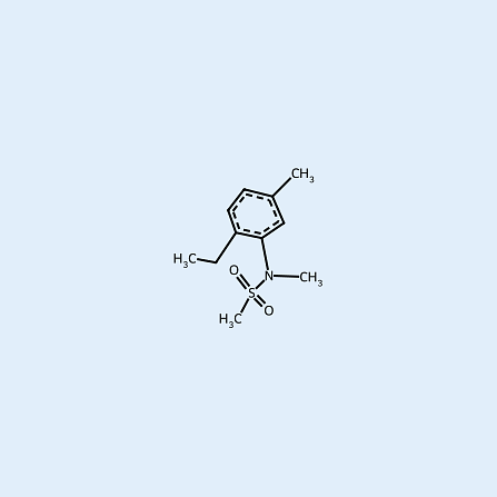 CCc1ccc(C)cc1N(C)S(C)(=O)=O